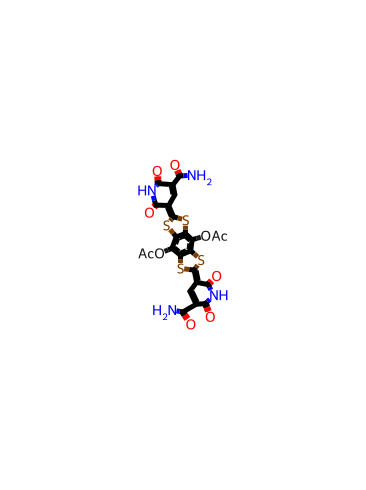 CC(=O)Oc1c2c(c(OC(C)=O)c3c1SC(=C1C=C(C(N)=O)C(=O)NC1=O)S3)SC(=C1C=C(C(N)=O)C(=O)NC1=O)S2